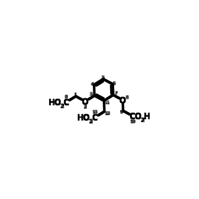 O=C(O)COc1cccc(OCC(=O)O)c1CC(=O)O